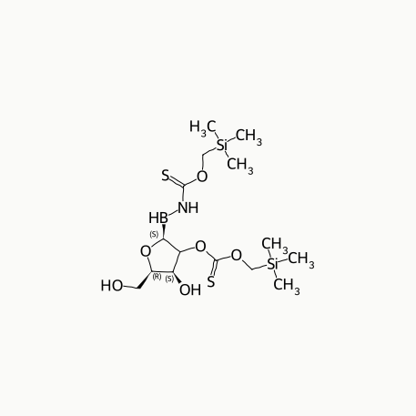 C[Si](C)(C)COC(=S)NB[C@@H]1O[C@H](CO)[C@H](O)C1OC(=S)OC[Si](C)(C)C